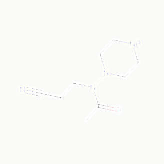 CC(=O)N(CCC#N)N1CCNCC1